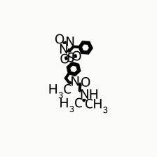 CC(C)NCC(=O)N1c2ccc(S(=O)(=O)C3=NC(=O)N=C3c3ccccc3)cc2CC1C